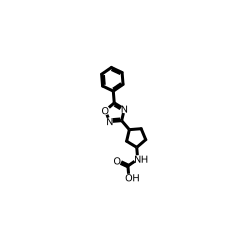 O=C(O)NC1CCC(c2noc(-c3ccccc3)n2)C1